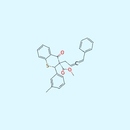 COC(=O)C1(CC=C=Cc2ccccc2)C(=O)c2ccccc2SC1c1cccc(C)c1